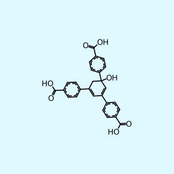 O=C(O)c1ccc(C2=CC(O)(c3ccc(C(=O)O)cc3)CC(c3ccc(C(=O)O)cc3)=C2)cc1